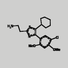 COc1cc(OC)c(-c2nc(CCN)sc2C2CCCCC2)cc1Cl